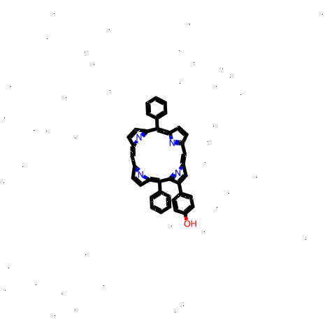 Oc1ccc(C2=CC3=CC4=NC(=C(c5ccccc5)C5=NC(=CC6=NC(=C(c7ccccc7)C2=N3)C=C6)C=C5)C=C4)cc1